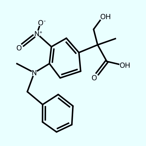 CN(Cc1ccccc1)c1ccc(C(C)(CO)C(=O)O)cc1[N+](=O)[O-]